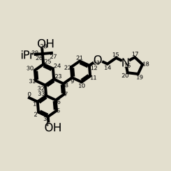 Cc1cc(O)cc2cc(-c3ccc(OCCN4CCCC4)cc3)c3cc(C(C)(O)C(C)C)ccc3c12